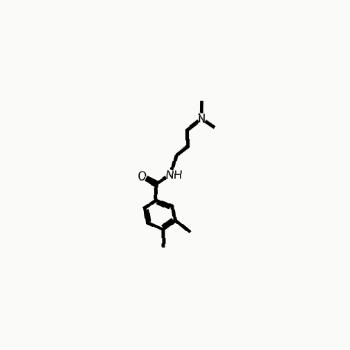 Cc1ccc(C(=O)NCCCN(C)C)cc1C